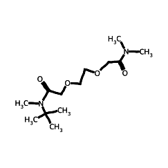 CN(C)C(=O)COCCOCC(=O)N(C)C(C)(C)C